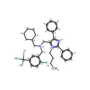 CCCCn1c(-c2ccccc2)nc(-c2ccccc2)c1CN(Cc1cc(C(F)(F)F)ccc1F)CC1CCCCC1